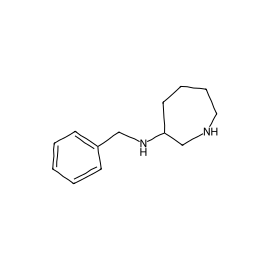 c1ccc(CNC2CCCCNC2)cc1